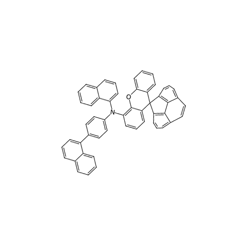 c1ccc2c(c1)Oc1c(N(c3ccc(-c4cccc5ccccc45)cc3)c3cccc4ccccc34)cccc1C21c2cccc3ccc4cccc1c4c23